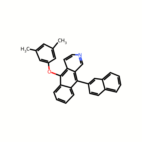 Cc1cc(C)cc(Oc2c3ccccc3c(-c3ccc4ccccc4c3)c3cnccc23)c1